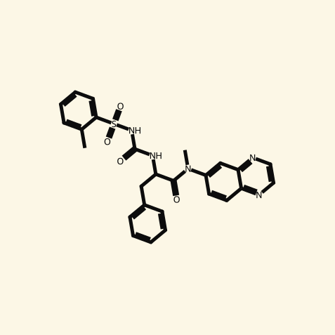 Cc1ccccc1S(=O)(=O)NC(=O)NC(Cc1ccccc1)C(=O)N(C)c1ccc2nccnc2c1